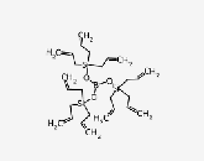 C=CC[Si](CC=C)(CC=C)OB(O[Si](CC=C)(CC=C)CC=C)O[Si](CC=C)(CC=C)CC=C